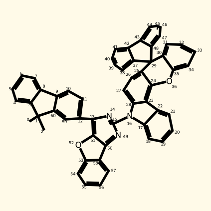 CC1(C)c2ccccc2-c2ccc(-c3nc(-n4c5ccccc5c5c6c(ccc54)C4(c5ccccc5O6)c5ccccc5-c5ccccc54)nc4c3oc3ccccc34)cc21